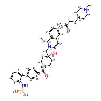 CC[S+]([O-])Nc1ccccc1-c1ccc(C(=O)N2CCC(O)(Cn3cnc4cc(NC(=O)CCN5CCN(C)CC5)ccc4c3=O)CC2)cc1